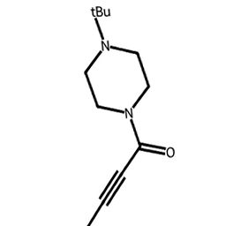 CCC#CC(=O)N1CCN(C(C)(C)C)CC1